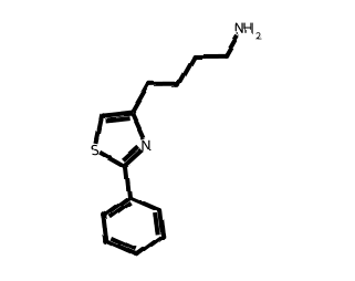 NCCCCc1csc(-c2ccccc2)n1